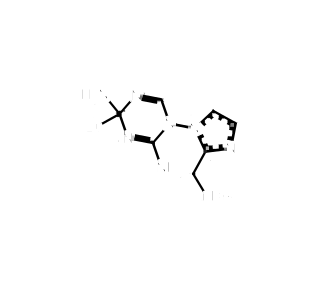 CCCCCCCCCCCc1nccn1N1C=NC(N)(CC)N=C1N